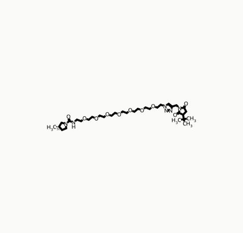 C[C@H]1CCN(C(=O)NCCOCCOCCOCCOCCOCCOCCOCCn2cc(CN3C(=O)CC(C(C)(C)C)C3=O)nn2)C1